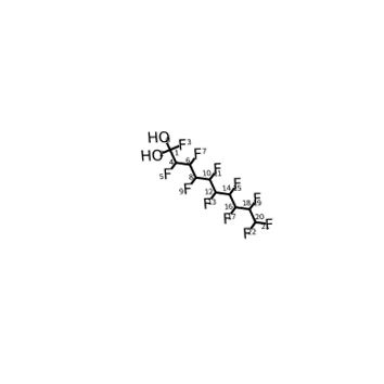 OC(O)(F)C(F)C(F)C(F)C(F)C(F)C(F)C(F)C(F)C(F)F